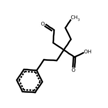 CCCC(CC=O)(CCc1ccccc1)C(=O)O